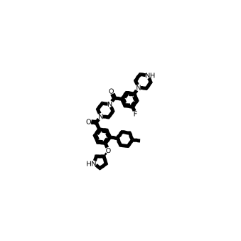 CC1CCC(c2cc(C(=O)N3CCN(C(=O)c4cc(F)cc(N5CCNCC5)c4)CC3)ccc2O[C@H]2CCNC2)CC1